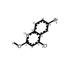 COc1cc(Cl)c2cc(Br)ccc2n1